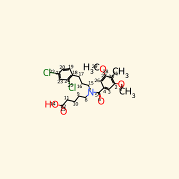 COc1cc(C(=O)N(CCCCC(=O)O)CCCc2ccc(Cl)cc2Cl)cc(OC)c1C